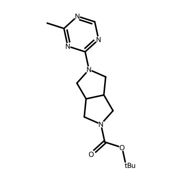 Cc1ncnc(N2CC3CN(C(=O)OC(C)(C)C)CC3C2)n1